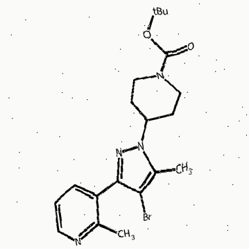 Cc1ncccc1-c1nn(C2CCN(C(=O)OC(C)(C)C)CC2)c(C)c1Br